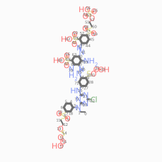 CCN(c1cccc(S(=O)(=O)CCOSOOO)c1)c1nc(Cl)nc(Nc2ccc(SOOO)c(/N=N/c3c(N)c(/N=N/c4ccc(S(=O)(=O)CCOS(=O)(=O)O)cc4S(=O)(=O)O)cc(S(=O)(=O)O)c3N)c2)n1